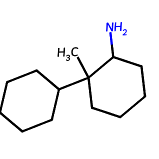 CC1(C2CCCCC2)CCCCC1N